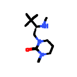 CN[C@H](CN1CCCN(C)C1=O)C(C)(C)C